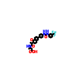 CC(CC(=O)O)NC(=O)C(C)C1CCc2cc(-c3ccc(NC(=O)Nc4cccc(C(F)(F)F)c4)cc3)ccc2C1=O